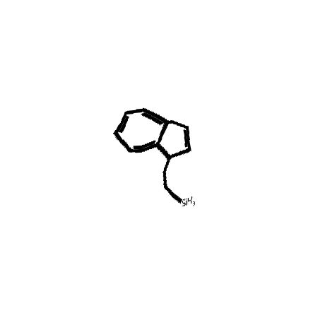 [SiH3]CC1C=Cc2ccccc21